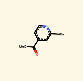 COC(=O)c1ccnc(C(C)(C)C)c1